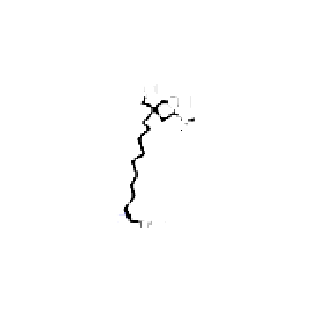 CCCCCCCC/C=C\CCCCCCCCC(CO)(CO)CCN(C)C